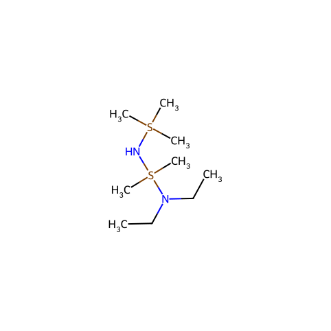 CCN(CC)S(C)(C)NS(C)(C)C